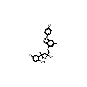 Cc1cc(NCC(O)(CC(C)(C)c2cc(F)ccc2O)C(F)(F)F)c2cnn(-c3ccc(O)cc3)c2c1